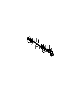 CC(C)(C)OC(=O)NC(=S)NCCCCCCNC(=O)C=C(N)C(=O)OCc1ccc2c(c1)-c1ccccc1C2